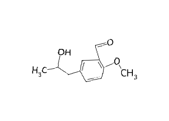 COc1ccc(CC(C)O)cc1C=O